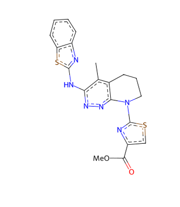 COC(=O)c1csc(N2CCCc3c2nnc(Nc2nc4ccccc4s2)c3C)n1